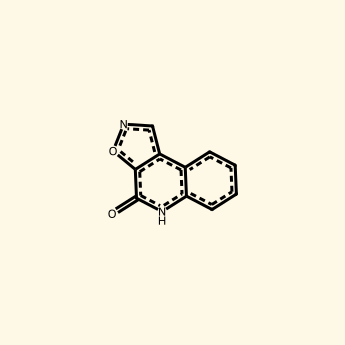 O=c1[nH]c2ccccc2c2cnoc12